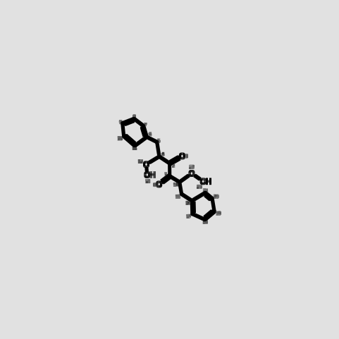 O=C(C(=O)C(Cc1ccccc1)OO)C(Cc1ccccc1)OO